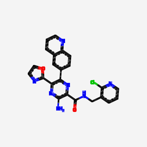 Nc1nc(-c2ncco2)c(-c2ccc3ncccc3c2)nc1C(=O)NCc1cccnc1Cl